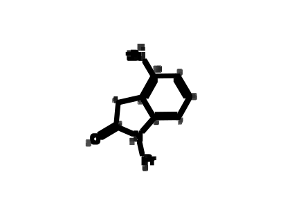 CC(C)N1C(=O)Cc2c1cccc2C(C)(C)C